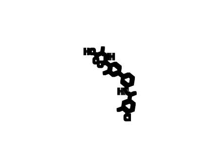 Cc1cc(C(C)Nc2cccc(-c3ccc(C(=O)NC(C)C(=O)O)c(C)c3)c2)ccc1Cl